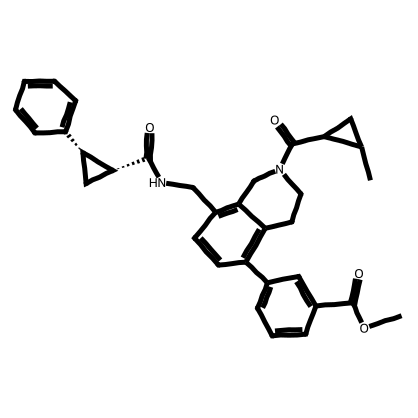 COC(=O)c1cccc(-c2ccc(CNC(=O)[C@@H]3C[C@@H]3c3ccccc3)c3c2CCN(C(=O)C2CC2C)C3)c1